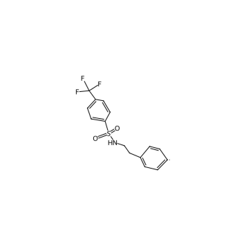 O=S(=O)(NCCc1cc[c]cc1)c1ccc(C(F)(F)F)cc1